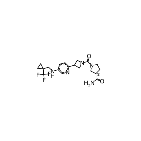 NC(=O)[C@H]1CCN(C(=O)N2CC(c3ccc(NCC4(C(F)(F)F)CC4)cn3)C2)C1